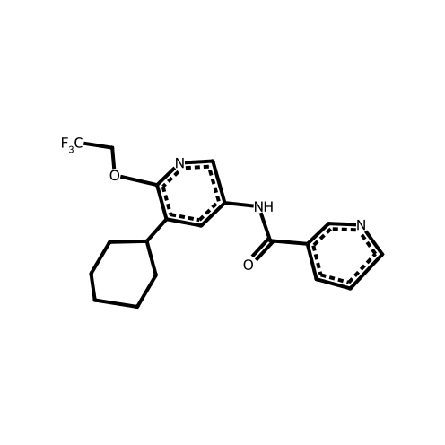 O=C(Nc1cnc(OCC(F)(F)F)c(C2CCCCC2)c1)c1cccnc1